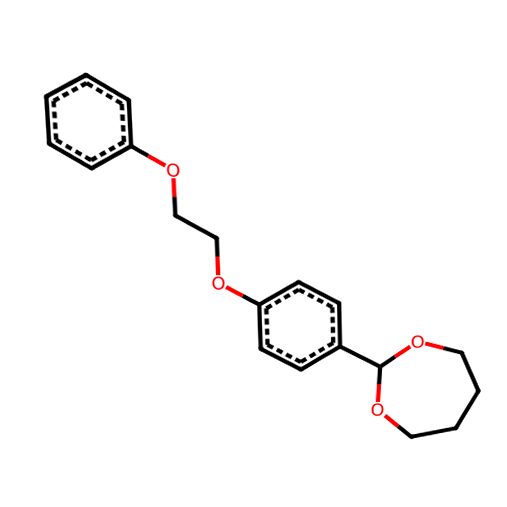 c1ccc(OCCOc2ccc(C3OCCCCO3)cc2)cc1